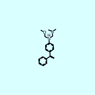 C=C(c1ccccc1)c1ccc([SiH](COC)CN(C)C)cc1